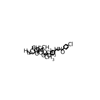 CC(C)C(OC(=O)OC(CC#N)C(C)(C)C)OC(=O)C(C)(C)Oc1ccc(CCNC(=O)c2ccc(Cl)cc2)cc1